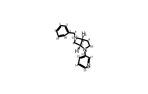 c1ccc(CN2C[C@@H]3[C@H]2CCN3c2cccnc2)cc1